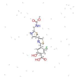 COC(=O)NCc1ncc(-c2csc(-c3cc(O)c(C(=O)O)cc3F)n2)s1